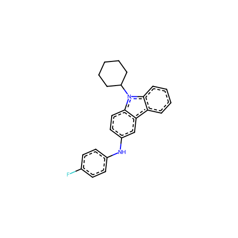 Fc1ccc(Nc2ccc3c(c2)c2ccccc2n3C2CCCCC2)cc1